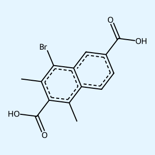 Cc1c(C(=O)O)c(C)c2ccc(C(=O)O)cc2c1Br